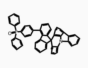 O=P(c1ccccc1)(c1ccccc1)c1ccc(-c2cccc3c2-c2ccccc2C32c3ccccc3-n3c4ccccc4c4cccc2c43)cc1